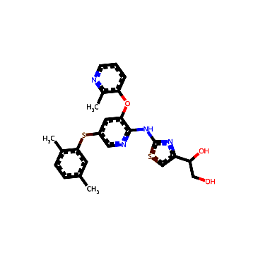 Cc1ccc(C)c(Sc2cnc(Nc3nc(C(O)CO)cs3)c(Oc3cccnc3C)c2)c1